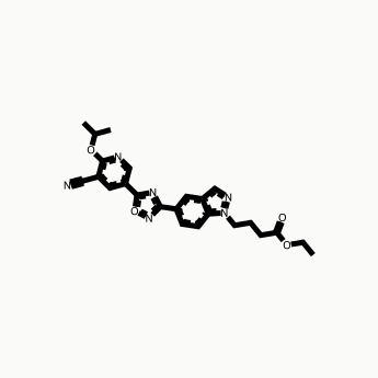 CCOC(=O)CCCn1ncc2cc(-c3noc(-c4cnc(OC(C)C)c(C#N)c4)n3)ccc21